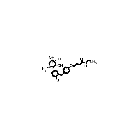 CCNC(=O)CCCOc1ccc(Cc2cc([C@H]3[C@H](O)[C@H](O)[C@H](O)C[SH]3C)ccc2C)cc1